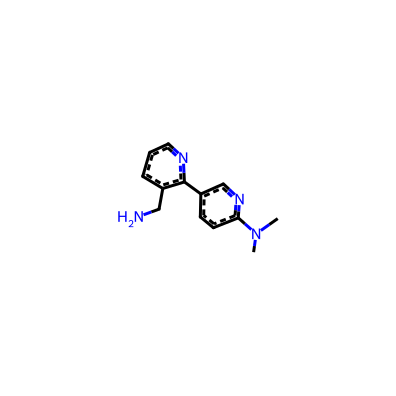 CN(C)c1ccc(-c2ncccc2CN)cn1